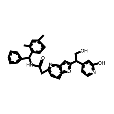 Cc1ccc(C(NC(=O)Cc2ccc3oc(C(CO)c4ccnc(O)c4)cc3n2)c2ccccc2)c(C)c1